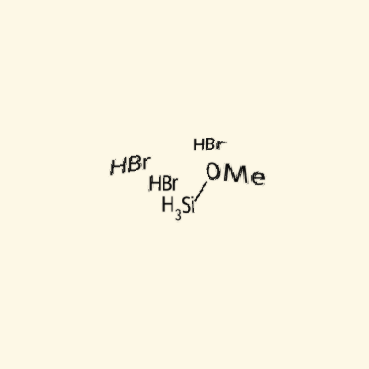 Br.Br.Br.CO[SiH3]